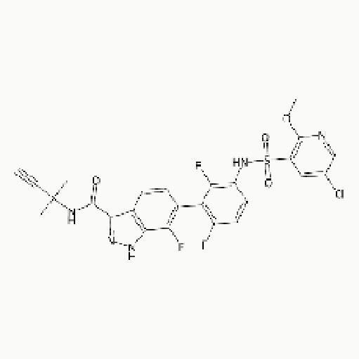 C#CC(C)(C)NC(=O)c1n[nH]c2c(F)c(-c3c(F)ccc(NS(=O)(=O)c4cc(Cl)cnc4OC)c3F)ccc12